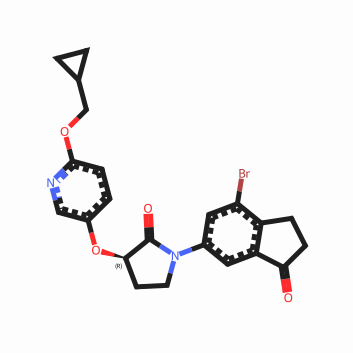 O=C1CCc2c(Br)cc(N3CC[C@@H](Oc4ccc(OCC5CC5)nc4)C3=O)cc21